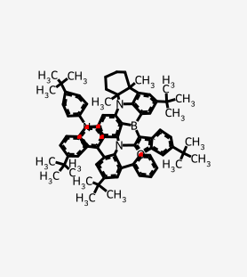 CC(C)(C)c1ccc(N(c2ccc(C(C)(C)C)cc2)c2cc3c4c(c2)N2c5c(cc(C(C)(C)C)cc5C5(C)CCCCC25C)B4c2c(oc4cc(C(C)(C)C)ccc24)N3c2c(-c3ccccc3)cc(C(C)(C)C)cc2-c2ccccc2)cc1